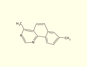 Cc1ccc2c(ccc3c(C)ncnc32)c1